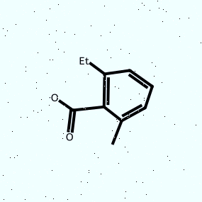 CCc1cccc(C)c1C([O])=O